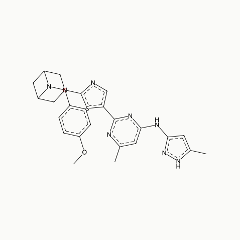 COc1ccc(CN2C3CC2CN(c2ncc(-c4nc(C)cc(Nc5cc(C)[nH]n5)n4)s2)C3)cc1